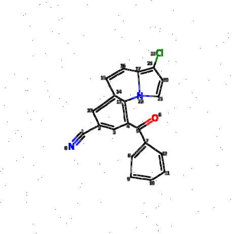 N#Cc1cc(C(=O)c2ccccc2)c2c(ccc3c(Cl)ccn32)c1